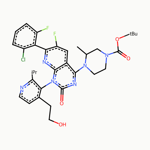 CC(C)c1nccc(CCO)c1-n1c(=O)nc(N2CCN(C(=O)OC(C)(C)C)CC2C)c2cc(F)c(-c3c(F)cccc3Cl)nc21